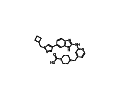 O=C(O)N1CCN(Cc2ccnc(Nc3nc4ccc(-c5cnn(CC6CCC6)c5)cc4[nH]3)c2)CC1